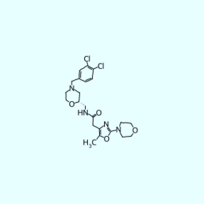 Cc1oc(N2CCOCC2)nc1CC(=O)NC[C@H]1CN(Cc2ccc(Cl)c(Cl)c2)CCO1